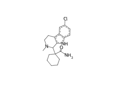 CN1CCc2c([nH]c3ccc(Cl)cc23)C1C1(C(N)=O)CCCCC1